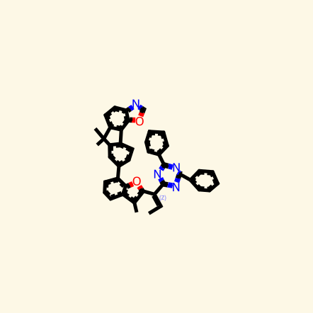 C/C=C(/c1nc(-c2ccccc2)nc(-c2ccccc2)n1)c1oc2c(-c3ccc4c(c3)C(C)(C)c3ccc5ncoc5c3-4)cccc2c1C